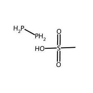 CS(=O)(=O)O.PP